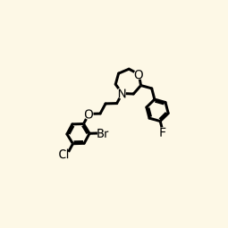 Fc1ccc(CC2CN(CCCOc3ccc(Cl)cc3Br)CCCO2)cc1